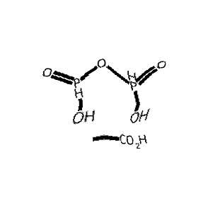 CC(=O)O.O=[PH](O)O[PH](=O)O